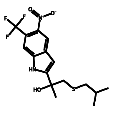 CC(C)CSCC(C)(O)c1cc2cc([N+](=O)[O-])c(C(F)(F)F)cc2[nH]1